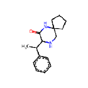 CC(c1ccccc1)C1NCC2(CCCC2)NC1=O